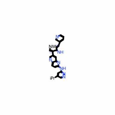 CN/C=C(\C(=N)/C=C/c1cccnc1)c1cnc2ccc(Nc3cc(C(C)C)cnn3)nc2c1